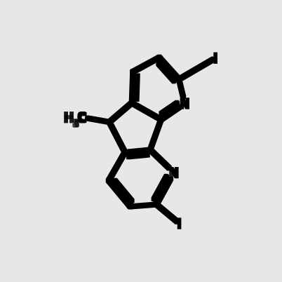 CC1c2ccc(I)nc2-c2nc(I)ccc21